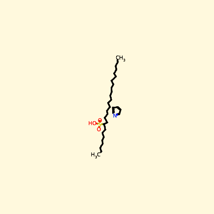 CCCCCCCCCCCCCCCCCCC(CCCCCCCC)S(=O)(=O)O.c1ccncc1